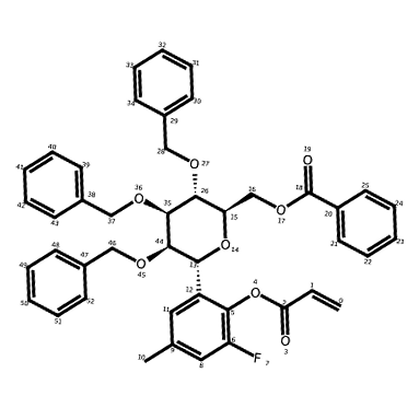 C=CC(=O)Oc1c(F)cc(C)cc1[C@H]1O[C@H](COC(=O)c2ccccc2)[C@@H](OCc2ccccc2)[C@H](OCc2ccccc2)[C@@H]1OCc1ccccc1